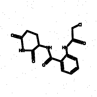 O=C1CCC(NC(=O)c2ccccc2NC(=O)CCl)C(=O)N1